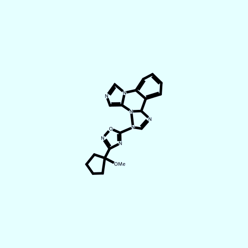 COC1(c2noc(N3C=NC4c5ccccc5-n5cncc5N43)n2)CCCC1